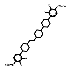 CCCCOc1ccc(C2CCC(CCC3CCC(C4CCC(c5ccc(OCCCC)c(F)c5F)CC4)CC3)CC2)c(F)c1F